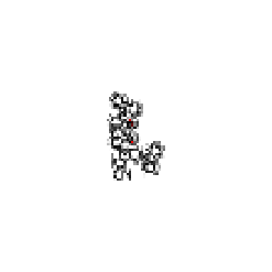 N#Cc1ccc2c(c1)c1cc(-n3c4ccccc4c4ccccc43)ccc1n2-c1ccc2c(c1)C1(c3cc(-n4c5ccccc5c5ccccc54)ccc3S2)c2cccnc2-c2ncccc21